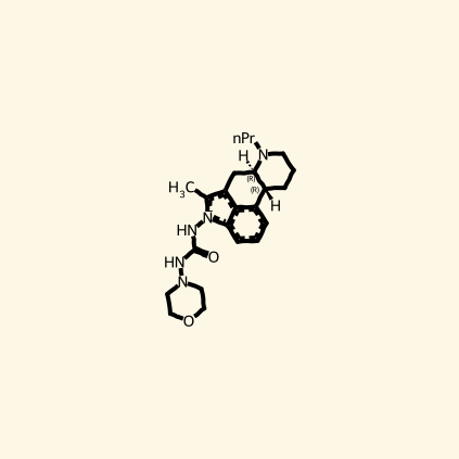 CCCN1CCC[C@@H]2c3cccc4c3c(c(C)n4NC(=O)NN3CCOCC3)C[C@H]21